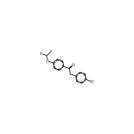 O=C(Cc1ccc(Cl)cc1)c1ccc(OC(F)F)cc1